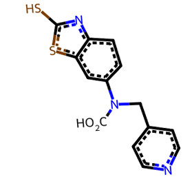 O=C(O)N(Cc1ccncc1)c1ccc2nc(S)sc2c1